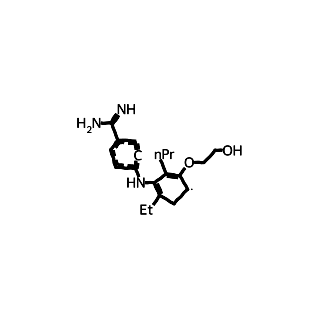 CCCC1=C(OCCO)[CH]CC(CC)=C1Nc1ccc(C(=N)N)cc1